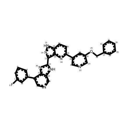 Fc1cccc(-c2cncc3[nH]c(-c4n[nH]c5ccc(-c6cncc(OCc7ccccc7)c6)nc45)nc23)c1